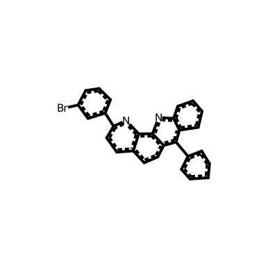 Brc1cccc(-c2ccc3ccc4c(-c5ccccc5)c5ccccc5nc4c3n2)c1